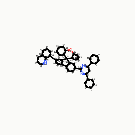 c1ccc(-c2cc(-c3ccccc3)nc(-c3ccc4c(c3)C3(c5ccccc5Oc5ccccc53)c3cc(-c5cccc6cccnc56)ccc3-4)n2)cc1